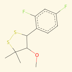 COC1C(c2ccc(F)cc2F)SSC1(C)C